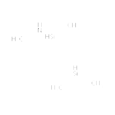 CN[SiH](C)CC[SiH](C)C